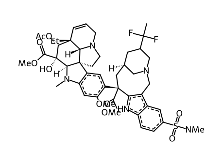 CC[C@]12C=CCN3CC[C@@]4(c5cc([C@@]6(C(=O)OC)C[C@H]7CC(C(C)(F)F)CN(Cc8c6[nH]c6ccc(S(=O)(=O)NC)cc86)C7)c(OC)cc5N(C)[C@H]4[C@@](O)(C(=O)OC)[C@@H]1OC(C)=O)[C@@H]32